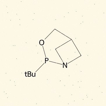 CC(C)(C)P1OCC2CN1C2